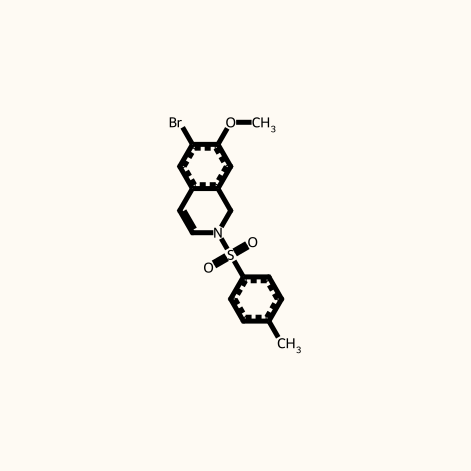 COc1cc2c(cc1Br)C=CN(S(=O)(=O)c1ccc(C)cc1)C2